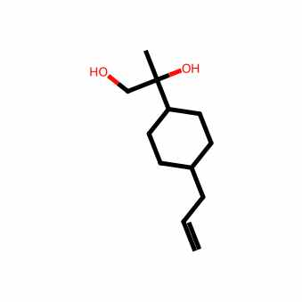 C=CCC1CCC(C(C)(O)CO)CC1